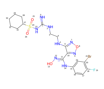 N=C(NCCNc1nonc1/C(=N/O)Nc1ccc(F)c(Br)c1)NS(=O)(=O)C1CCCCC1